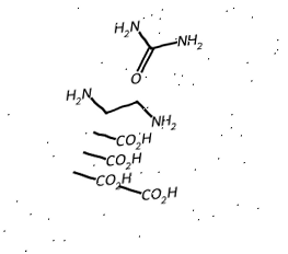 CC(=O)O.CC(=O)O.CC(=O)O.CC(=O)O.NC(N)=O.NCCN